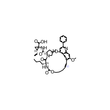 C=C[C@@H]1C[C@]1(NC(=O)[C@@H]1C[C@@H]2CN1C(=O)[C@H](CCCC)NC(=O)OCCC/C=C\c1cc3c(cc(-c4ccccc4)nc3cc1OC)O2)C(=O)O